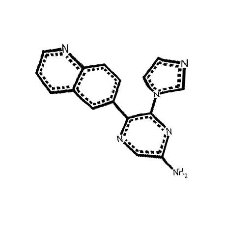 Nc1cnc(-c2ccc3ncccc3c2)c(-n2ccnc2)n1